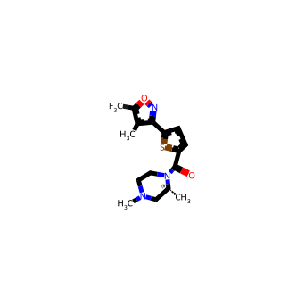 Cc1c(-c2ccc(C(=O)N3CCN(C)C[C@H]3C)s2)noc1C(F)(F)F